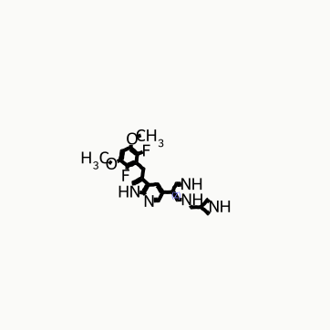 COc1cc(OC)c(F)c(Cc2c[nH]c3ncc(/C(C=N)=C/NCC4CNC4)cc23)c1F